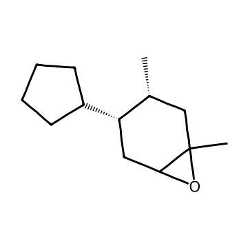 C[C@@H]1CC2(C)OC2C[C@@H]1C1CCCC1